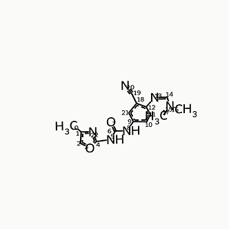 Cc1coc(NC(=O)Nc2ccc(/N=C\N(C)C)c(C#N)c2)n1